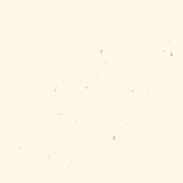 CC(CC(CC(C)C(=O)O)c1ccc2c(c1)CCc1ccc(C(CC(C)C(=O)O)CC(CC(CC(C)C(=O)NCCOCCOCCC(=O)NN)C(=O)NCCCCS)C(=O)O)cc1CC2)C(=O)O